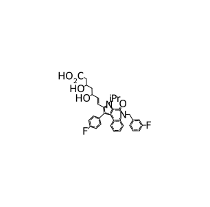 CC(C)n1c(/C=C/C(O)CC(O)CC(=O)O)c(-c2ccc(F)cc2)c2c3ccccc3n(Cc3cccc(F)c3)c(=O)c21